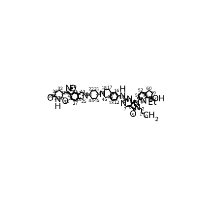 C=CCn1c(=O)c2cnc(Nc3ccc4c(c3)CCN([C@H]3CC[C@H](N5Cc6ccc7c(C8CCC(=O)NC8=O)noc7c6C5)CC3)C4)nc2n1-c1ccc2c(n1)[C@@](O)(CC)CC2